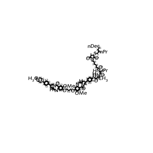 CCCCCCCCCCCC[C@H](CCC)CSC1CC(=O)N(CCCCCC(=O)N[C@H](C(=O)N[C@@H](C)C(=O)Nc2ccc(C3=CN4C(=O)c5cc(OC)c(OCCCOc6cc7c(cc6OC)C(=O)N6C=C(c8ccc(N9CCN(C)CC9)cc8)C[C@H]6C=N7)cc5N=C[C@@H]4C3)cc2)C(C)C)C1=O